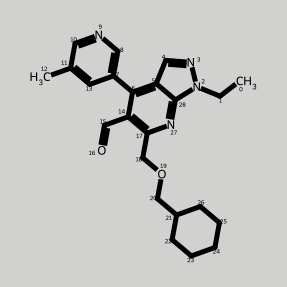 CCn1ncc2c(-c3cncc(C)c3)c(C=O)c(COCC3CCCCC3)nc21